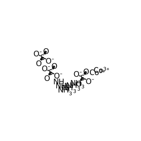 N.N.N.N.N.N.O=S(=O)([O-])[O-].O=S(=O)([O-])[O-].O=S(=O)([O-])[O-].[Co+3].[Co+3]